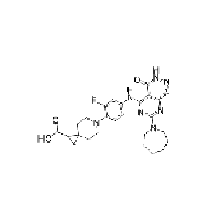 O=C(O)C1CC12CCN(c1ccc(Nc3nc(N4CCCCCC4)nc4cn[nH]c(=O)c34)cc1F)CC2